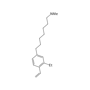 C=Cc1ccc(CCCCCCCNC)cc1CC